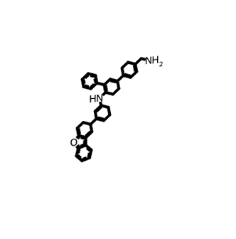 NCC1=CC=C(C2=CC(c3ccccc3)=C(NC3=CC(C4C=c5c(oc6ccccc56)=CC4)=CCC3)CC2)CC1